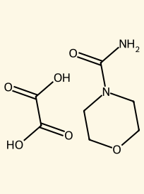 NC(=O)N1CCOCC1.O=C(O)C(=O)O